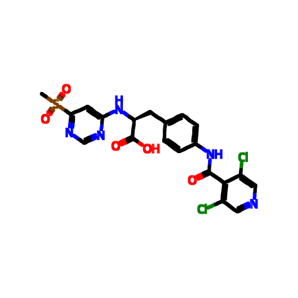 CS(=O)(=O)c1cc(N[C@@H](Cc2ccc(NC(=O)c3c(Cl)cncc3Cl)cc2)C(=O)O)ncn1